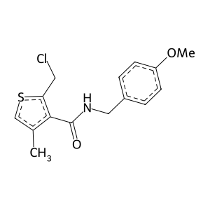 COc1ccc(CNC(=O)c2c(C)csc2CCl)cc1